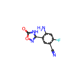 N#Cc1cc(-c2noc(=O)[nH]2)c(N)cc1F